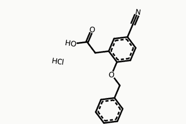 Cl.N#Cc1ccc(OCc2ccccc2)c(CC(=O)O)c1